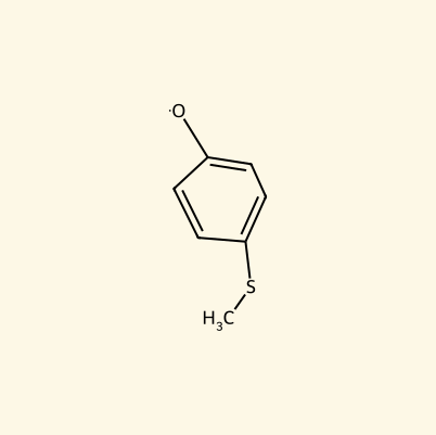 CSc1ccc([O])cc1